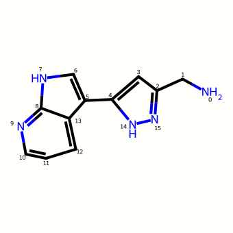 NCc1cc(-c2c[nH]c3ncccc23)[nH]n1